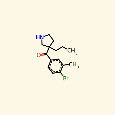 CCCC1(C(=O)c2ccc(Br)c(C)c2)CCNC1